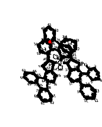 CC(C)c1ccccc1-c1c(-c2ccccc2)ccc2c1C=C(c1ccccc1)[CH]2[Zr]([Cl])([Cl])([c]1cccc2c1[SiH2]c1ccccc1-2)[CH]1C(c2ccccc2)=Cc2c1ccc(-c1ccccc1)c2-c1ccccc1C(C)C